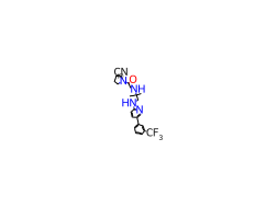 CC(C)(CNc1ccc(-c2cccc(C(F)(F)F)c2)cn1)NCC(=O)N1CCC[C@H]1C#N